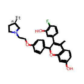 CC[C@@H]1CCN(CCOc2ccc(C3Oc4cc(O)ccc4C(C)=C3c3ccc(F)c(O)c3)cc2)C1